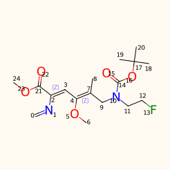 C=N/C(=C\C(OC)=C(/C)CN(CCF)C(=O)OC(C)(C)C)C(=O)OC